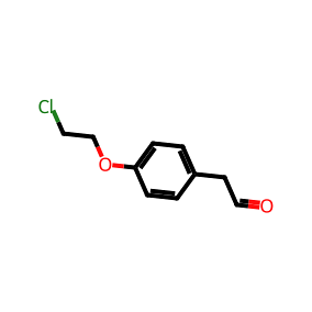 O=CCc1ccc(OCCCl)cc1